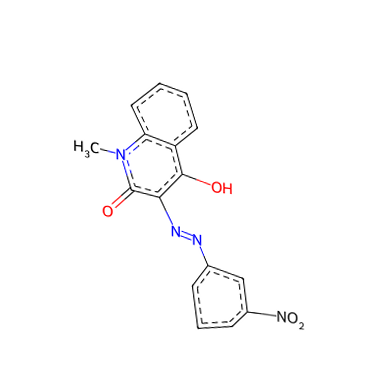 Cn1c(=O)c(N=Nc2cccc([N+](=O)[O-])c2)c(O)c2ccccc21